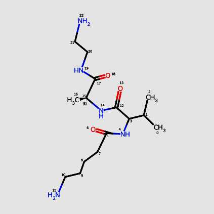 CC(C)C(NC(=O)CCCCN)C(=O)N[C@@H](C)C(=O)NCCN